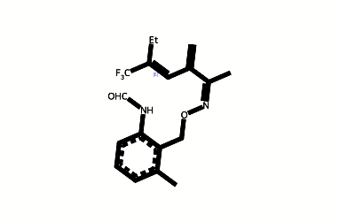 C=C(/C=C(\CC)C(F)(F)F)C(C)=NOCc1c(C)cccc1NC=O